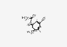 CC(=O)OC1C=C(Cl)C=CC1C